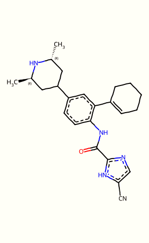 C[C@@H]1CC(c2ccc(NC(=O)c3ncc(C#N)[nH]3)c(C3=CCCCC3)c2)C[C@@H](C)N1